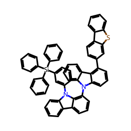 c1ccc([Si](c2ccccc2)(c2ccccc2)c2cccc(-n3c4ccccc4c4cccc(-n5c6ccccc6c6c(-c7ccc8c(c7)sc7ccccc78)cccc65)c43)c2)cc1